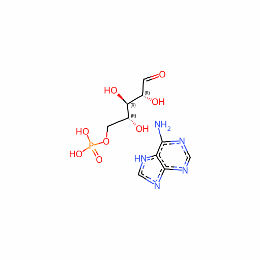 Nc1ncnc2nc[nH]c12.O=C[C@H](O)[C@H](O)[C@H](O)COP(=O)(O)O